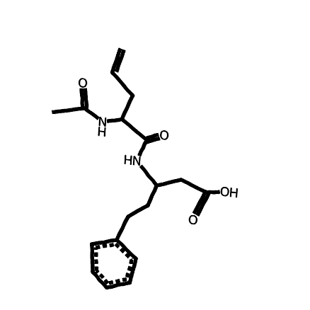 C=CCC(NC(C)=O)C(=O)NC(CCc1ccccc1)CC(=O)O